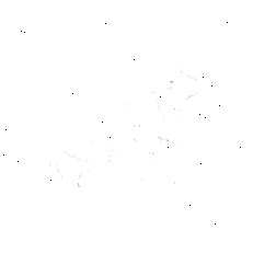 CC(C)(C)NC(=O)C1c2[nH]c3ccccc3c2CCN1C[C@@H](O)[C@@H](N)Cc1ccccc1